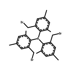 Cc1cc(C)c(B(c2c(C)cc(C)cc2CBr)c2c(C)cc(C)cc2CBr)c(CBr)c1